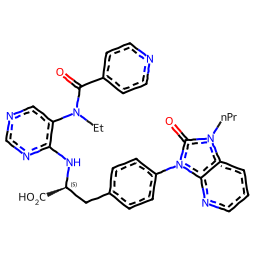 CCCn1c(=O)n(-c2ccc(C[C@H](Nc3ncncc3N(CC)C(=O)c3ccncc3)C(=O)O)cc2)c2ncccc21